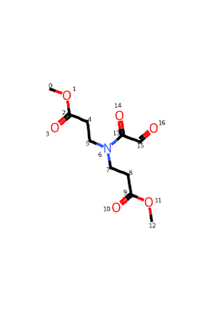 COC(=O)CCN(CCC(=O)OC)C(=O)C=O